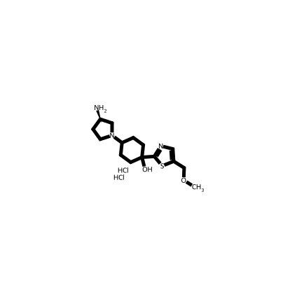 COCc1cnc(C2(O)CCC(N3CC[C@@H](N)C3)CC2)s1.Cl.Cl